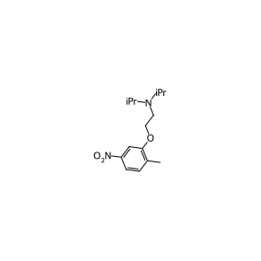 Cc1ccc([N+](=O)[O-])cc1OCCN(C(C)C)C(C)C